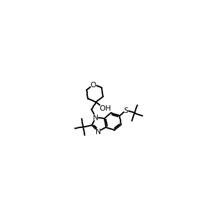 CC(C)(C)Sc1ccc2nc(C(C)(C)C)n(CC3(O)CCOCC3)c2c1